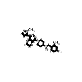 Cc1cc(F)ccc1CN(C)C1CCN(c2nnc(-c3ccnn3C)c3nccnc23)CC1